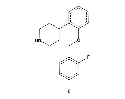 Fc1cc(Cl)ccc1COc1ccccc1C1CCNCC1